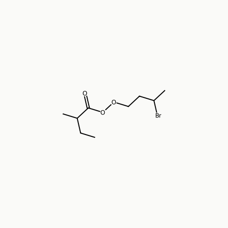 CCC(C)C(=O)OOCCC(C)Br